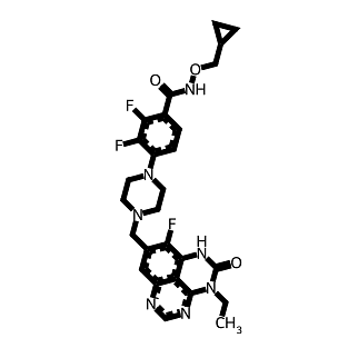 CCN1C(=O)Nc2c(F)c(CN3CCN(c4ccc(C(=O)NOCC5CC5)c(F)c4F)CC3)cc3ncnc1c23